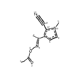 CC(=O)ON=C(C)c1ccn(C)c1C#N